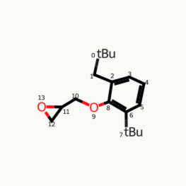 CC(C)(C)Cc1cccc(C(C)(C)C)c1OCC1CO1